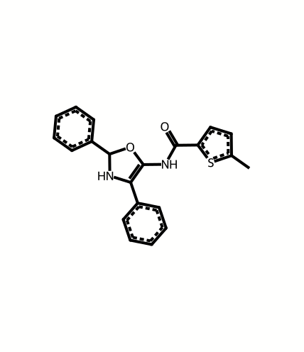 Cc1ccc(C(=O)NC2=C(c3ccccc3)NC(c3ccccc3)O2)s1